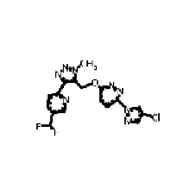 Cn1nnc(-c2ccc(C(F)F)cn2)c1COc1ccc(-n2cc(Cl)cn2)nn1